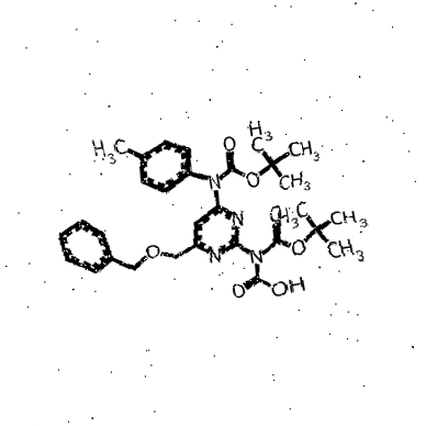 Cc1ccc(N(C(=O)OC(C)(C)C)c2cc(COCc3ccccc3)nc(N(C(=O)O)C(=O)OC(C)(C)C)n2)cc1